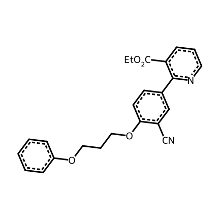 CCOC(=O)c1cccnc1-c1ccc(OCCCOc2ccccc2)c(C#N)c1